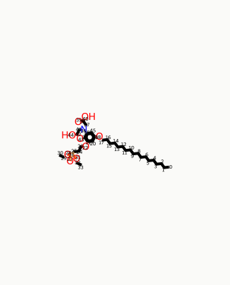 CCCCCCCCCCCCCCCCCCOc1cc(OCCCP(=O)(OCC)OCC)cc(N(CC(=O)O)CC(=O)O)c1